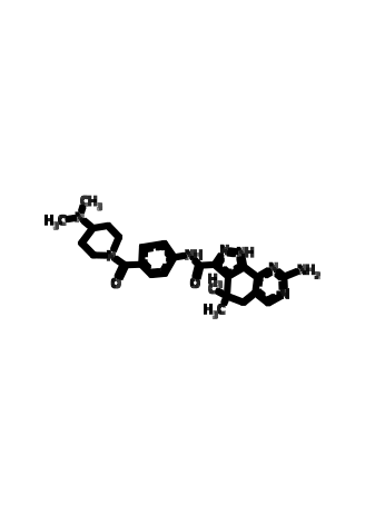 CN(C)C1CCN(C(=O)c2ccc(NC(=O)c3n[nH]c4c3C(C)(C)Cc3cnc(N)nc3-4)cc2)CC1